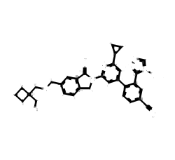 Cn1cnnc1-c1cc(C#N)ccc1-c1cc(C2CC2)nc(N2Cc3ccc(CNCC4(CO)CCC4)cc3C2=O)c1